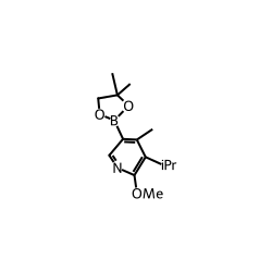 COc1ncc(B2OCC(C)(C)O2)c(C)c1C(C)C